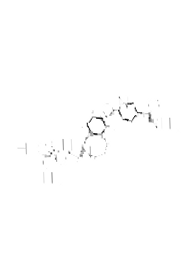 CC(C)(C)OCCN1CCCc2cc(Oc3ccc(C(N)=O)cn3)ccc2C1